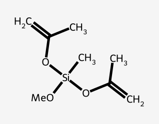 C=C(C)O[Si](C)(OC)OC(=C)C